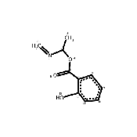 C=NC(C)OC(=O)c1ccccc1O